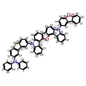 c1ccc(N(c2ccccc2)c2ccc3sc4ccc(-n5c6ccccc6c6c7oc8c(ccc9c8c8ccccc8n9-c8ccc9oc%10ccccc%10c9c8)c7ccc65)cc4c3c2)cc1